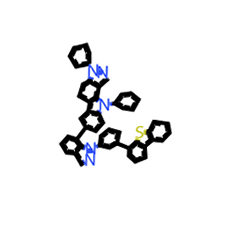 c1ccc(-n2ncc3c2ccc2c4cc(-c5cccc6cnn(-c7cccc(-c8cccc9c8sc8ccccc89)c7)c56)ccc4n(-c4ccccc4)c23)cc1